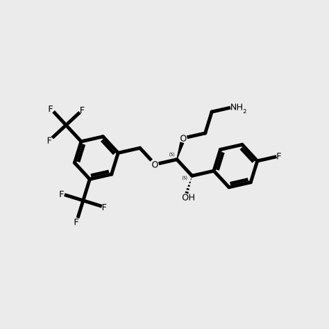 NCCO[C@H](OCc1cc(C(F)(F)F)cc(C(F)(F)F)c1)[C@@H](O)c1ccc(F)cc1